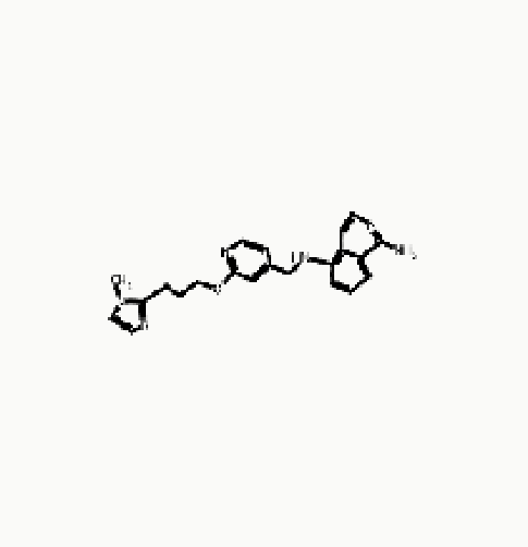 Cn1ccnc1CCCOc1cc(CNc2cccc3c(N)nccc23)ccn1